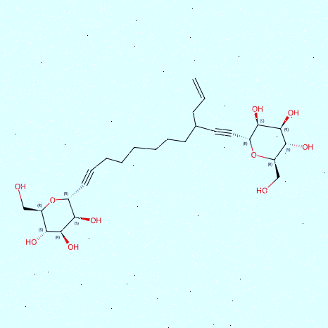 C=CCC(C#C[C@H]1O[C@H](CO)[C@@H](O)[C@H](O)[C@@H]1O)CCCCCCC#C[C@H]1O[C@H](CO)[C@@H](O)[C@H](O)[C@@H]1O